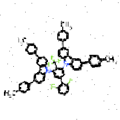 Cc1ccc(-c2ccc3c(c2)c2cc(-c4ccc(C)cc4)ccc2n3-c2cc(-c3c(F)cccc3F)cc(-n3c4ccc(-c5ccc(C)cc5)cc4c4cc(-c5ccc(C)cc5)ccc43)c2C(F)(F)F)cc1